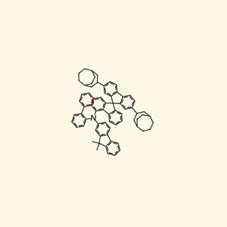 CC1(C)c2ccccc2-c2ccc(N(c3ccccc3-c3ccccc3)c3cccc4c3-c3ccccc3C43c4cc(C5CC6CCCC(CC6)C5)ccc4-c4ccc(C5CC6CCCC(CC6)C5)cc43)cc21